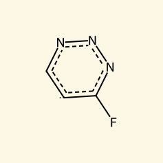 Fc1[c]cnnn1